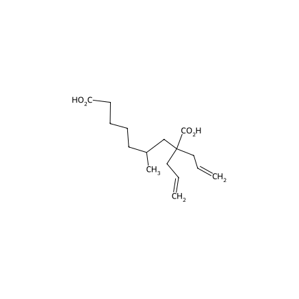 C=CCC(CC=C)(CC(C)CCCCC(=O)O)C(=O)O